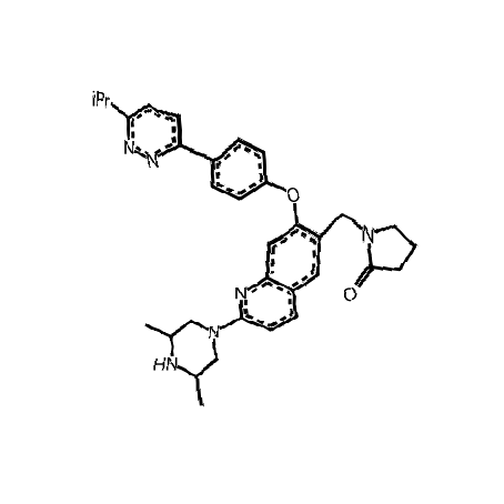 CC1CN(c2ccc3cc(CN4CCCC4=O)c(Oc4ccc(-c5ccc(C(C)C)nn5)cc4)cc3n2)CC(C)N1